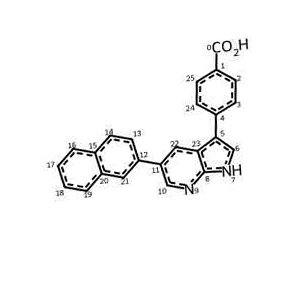 O=C(O)c1ccc(-c2c[nH]c3ncc(-c4ccc5ccccc5c4)cc23)cc1